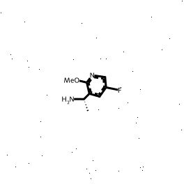 COc1ncc(F)cc1[C@H](C)N